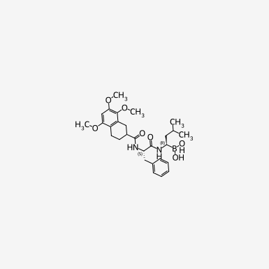 COc1cc(OC)c(OC)c2c1CCC(C(=O)N[C@@H](Cc1ccccc1)C(=O)N[C@@H](CC(C)C)B(O)O)C2